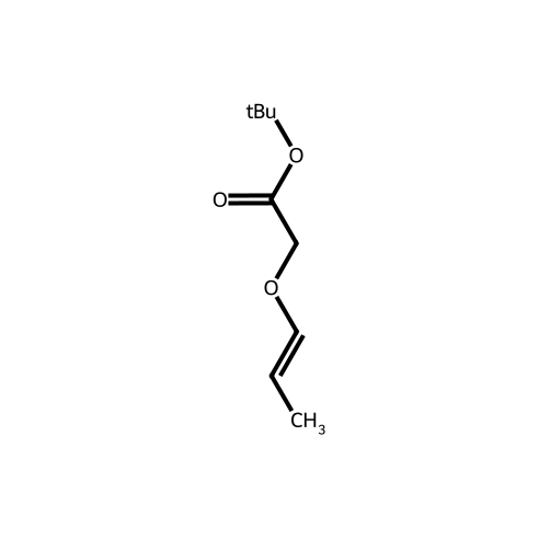 CC=COCC(=O)OC(C)(C)C